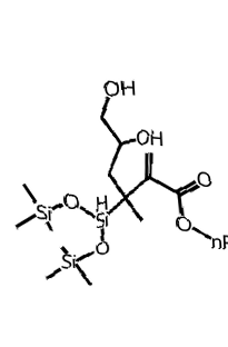 C=C(C(=O)OCCC)C(C)(CC(O)CO)[SiH](O[Si](C)(C)C)O[Si](C)(C)C